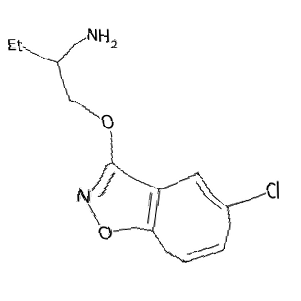 CCC(N)COc1noc2ccc(Cl)cc12